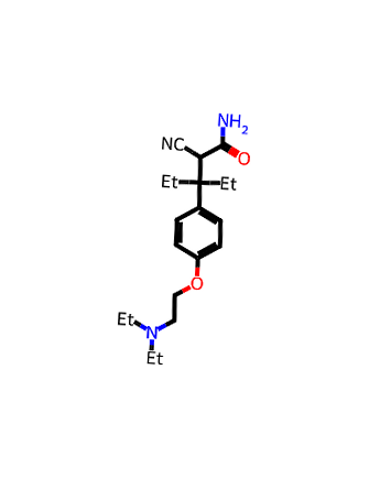 CCN(CC)CCOc1ccc(C(CC)(CC)C(C#N)C(N)=O)cc1